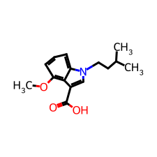 COc1cccc2c1c(C(=O)O)cn2CCC(C)C